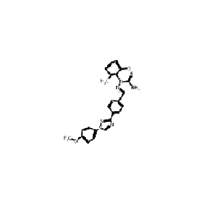 Cc1cccc(Cl)c1N(/N=C/c1ccc(-c2ncn(-c3ccc(OC(F)(F)F)cc3)n2)cc1)C(N)=S